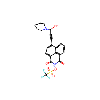 O=C1c2cccc3c(C#CC(O)N4CCCCC4)ccc(c23)C(=O)N1OS(=O)(=O)C(F)(F)F